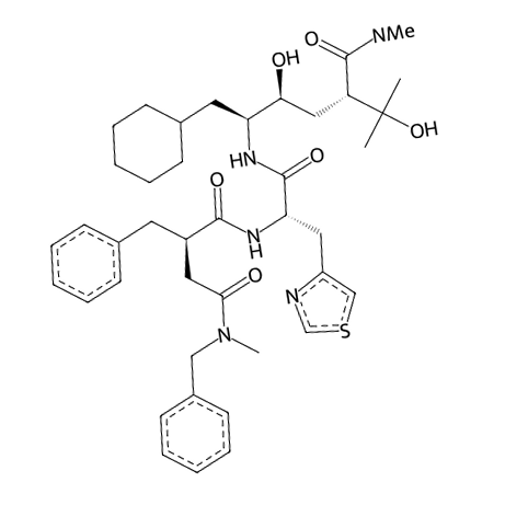 CNC(=O)[C@@H](C[C@H](O)[C@H](CC1CCCCC1)NC(=O)[C@H](Cc1cscn1)NC(=O)[C@@H](CC(=O)N(C)Cc1ccccc1)Cc1ccccc1)C(C)(C)O